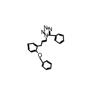 C(=Cn1nnnc1-c1ccccc1)Cc1ccccc1OCc1ccccc1